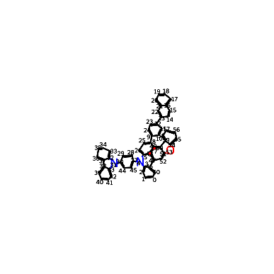 c1ccc(N(c2ccc(-c3ccc(-c4ccc5ccccc5c4)cc3)cc2)c2ccc(-n3c4ccccc4c4ccccc43)cc2)c(-c2ccc3c(c2)oc2ccccc23)c1